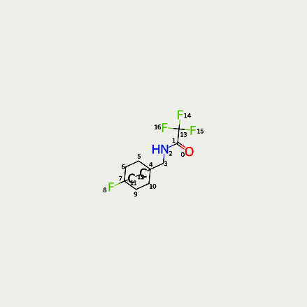 O=C(NCC12CCC(F)(CC1)CC2)C(F)(F)F